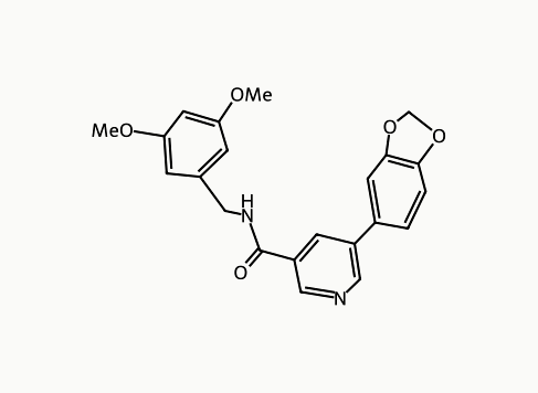 COc1cc(CNC(=O)c2cncc(-c3ccc4c(c3)OCO4)c2)cc(OC)c1